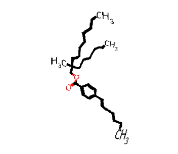 CCCCCCCCC(C)(CCCCCC)COC(=O)c1ccc(CCCCCC)cc1